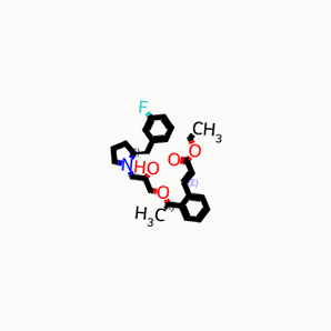 CCOC(=O)/C=C/c1ccccc1[C@@H](C)OCC(O)CN1CCC[C@H]1Cc1cccc(F)c1